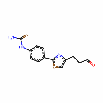 NC(=S)Nc1ccc(-c2nc(CCC=O)cs2)cc1